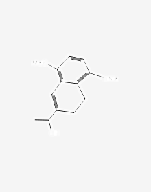 COc1ccc(OC)c2c1C=C(C(C)O)CC2